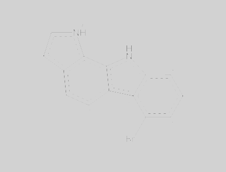 Brc1cccc2[nH]c3c(ccc4cc[nH]c43)c12